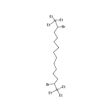 CC[N+](CC)(CC)C(Br)CCCCCCCCCCC(Br)[N+](CC)(CC)CC